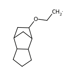 [CH2]COC1CC2CC1C1CCCC21